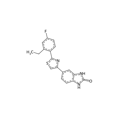 CCc1cc(F)ccc1-c1nc(-c2ccc3[nH]c(=O)[nH]c3c2)cs1